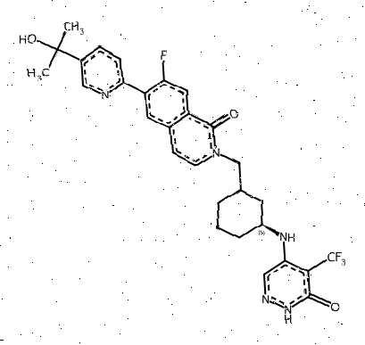 CC(C)(O)c1ccc(-c2cc3ccn(CC4CCC[C@H](Nc5cn[nH]c(=O)c5C(F)(F)F)C4)c(=O)c3cc2F)nc1